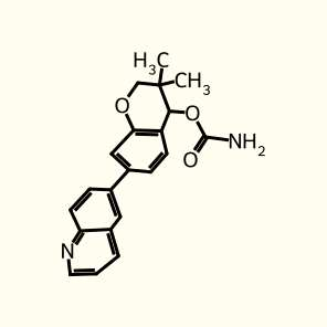 CC1(C)COc2cc(-c3ccc4ncccc4c3)ccc2C1OC(N)=O